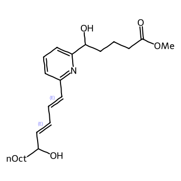 CCCCCCCCC(O)/C=C/C=C/c1cccc(C(O)CCCC(=O)OC)n1